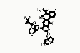 N#Cc1c(N)sc2c(F)ccc(-c3c(Cl)cc4c(N5CCC6(COCCN6C(=O)C6CC6(F)F)C5)nc(OC[C@@]56CCCN5C[C@H](F)C6)nc4c3F)c12